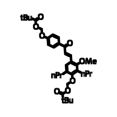 CCCc1cc(/C=C/C(=O)c2ccc(OCOC(=O)C(C)(C)C)cc2)c(OC)c(CCC)c1OCOC(=O)C(C)(C)C